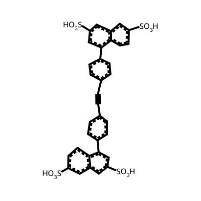 O=S(=O)(O)c1ccc2c(-c3ccc(C#Cc4ccc(-c5cc(S(=O)(=O)O)cc6cc(S(=O)(=O)O)ccc56)cc4)cc3)cc(S(=O)(=O)O)cc2c1